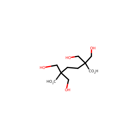 O=C(O)C(CO)(CO)CCC(CO)(CO)C(=O)O